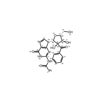 CC(C)C(=O)Nc1nc2c(ncn2[C@@H]2O[C@H](CO)[C@@H](O)[C@]2(O)C(=O)c2ccccc2)c(=O)[nH]1